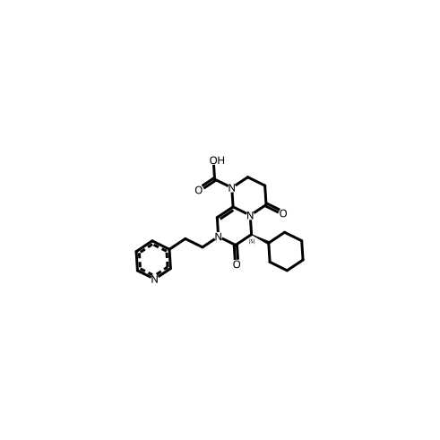 O=C1[C@H](C2CCCCC2)N2C(=O)CCN(C(=O)O)C2=CN1CCc1cccnc1